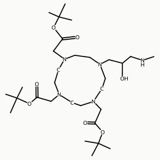 CNCC(O)CN1CCN(CC(=O)OC(C)(C)C)CCN(CC(=O)OC(C)(C)C)CCN(CC(=O)OC(C)(C)C)CC1